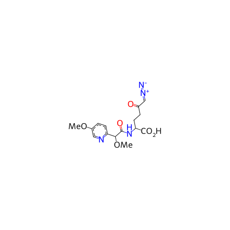 COc1ccc(C(OC)C(=O)NC(CCC(=O)C=[N+]=[N-])C(=O)O)nc1